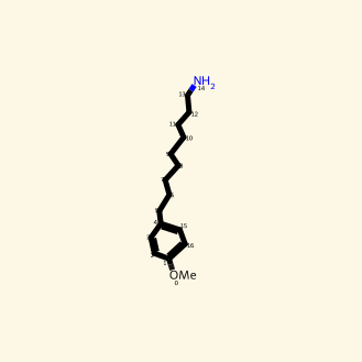 COc1ccc(CCCCCCCCCN)cc1